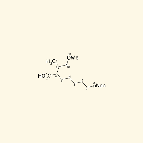 CCCCCCCCCCCCCCC(C(=O)O)C(C)COC